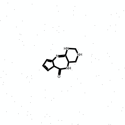 O=C1NC2CNCNC2=NC2=CC=CC12